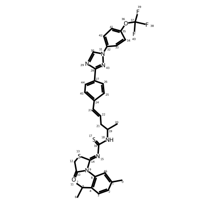 Cc1ccc(C(C)C)c(N2C(=O)CS/C2=N\C(=S)NC(C)C/C=C/c2ccc(-c3ncn(-c4ccc(OC(F)(F)F)cc4)n3)cc2)c1